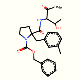 COC(=O)C(NC(=O)C1(Cc2cccc(C)c2)CCCN1C(=O)OCc1ccccc1)C(C)O